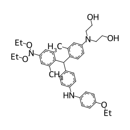 CCOc1ccc(Nc2ccc(C(c3ccc(N(CCO)CCO)cc3C)c3ccc(N(OCC)OCC)cc3C)cc2)cc1